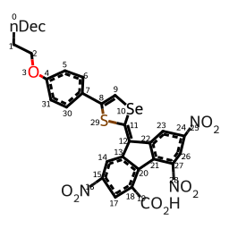 CCCCCCCCCCCCOc1ccc(C2=C[Se]C(=C3c4cc([N+](=O)[O-])cc(C(=O)O)c4-c4c3cc([N+](=O)[O-])cc4[N+](=O)[O-])S2)cc1